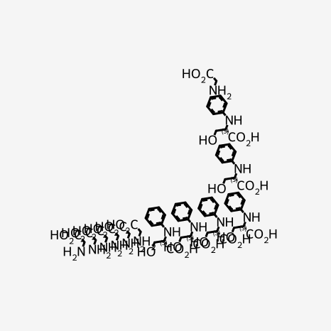 NCC(=O)O.NCC(=O)O.NCC(=O)O.NCC(=O)O.NCC(=O)O.NCC(=O)O.NCC(=O)O.O=C(O)[C@H](CO)Nc1ccccc1.O=C(O)[C@H](CO)Nc1ccccc1.O=C(O)[C@H](CO)Nc1ccccc1.O=C(O)[C@H](CO)Nc1ccccc1.O=C(O)[C@H](CO)Nc1ccccc1.O=C(O)[C@H](CO)Nc1ccccc1